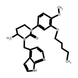 CCCCCOc1cc(N2CCC(C)N(Cc3ccnc4[nH]ccc34)C2=O)ccc1OC